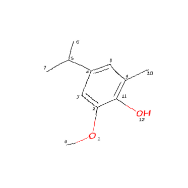 COc1cc(C(C)C)cc(C)c1O